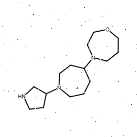 C1COCCN(C2CCCN(C3CCNC3)CC2)C1